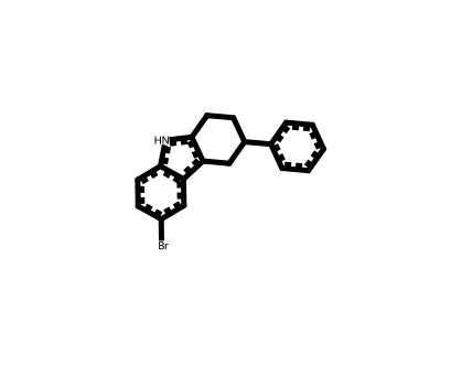 Brc1ccc2[nH]c3c(c2c1)CC(c1ccccc1)CC3